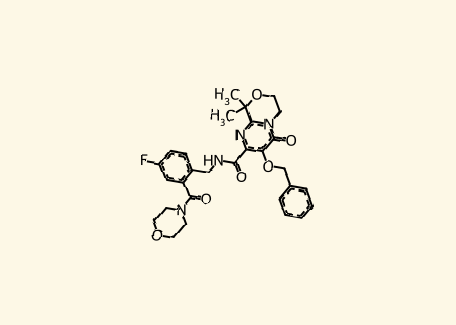 CC1(C)OCCn2c1nc(C(=O)NCc1ccc(F)cc1C(=O)N1CCOCC1)c(OCc1ccccc1)c2=O